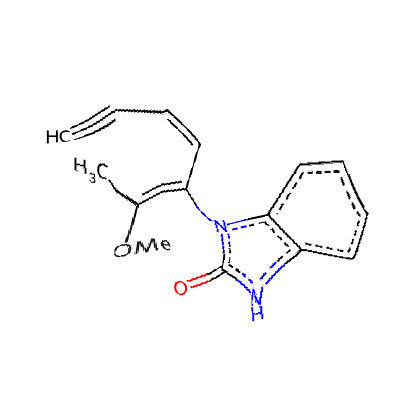 C#C/C=C\C(=C(/C)OC)n1c(=O)[nH]c2ccccc21